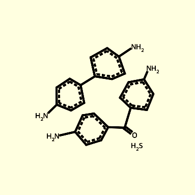 Nc1ccc(-c2ccc(N)cc2)cc1.Nc1ccc(C(=O)c2ccc(N)cc2)cc1.S